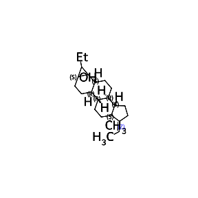 C/C=C1/CC[C@H]2[C@@H]3CC[C@@H]4C5C(CC)[C@@]5(O)CC[C@@H]4[C@H]3CC[C@]12C